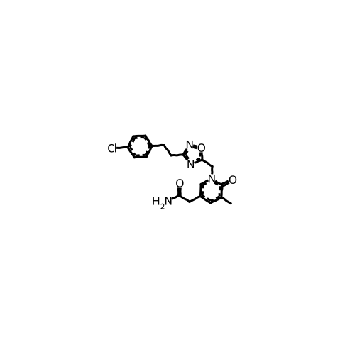 Cc1cc(CC(N)=O)cn(Cc2nc(CCc3ccc(Cl)cc3)no2)c1=O